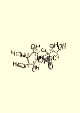 O=P(O)(O)C(OC1C(O)C(O)C(O)C(O)C1O)C(O)CO